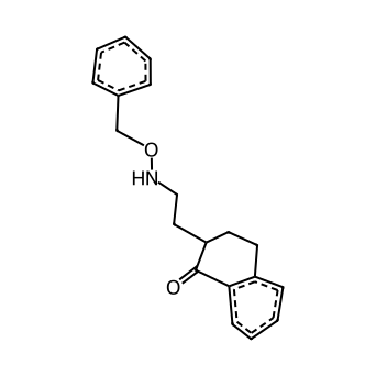 O=C1c2ccccc2CCC1CCNOCc1ccccc1